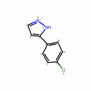 Clc1ccc(C2=CC=[N+]N2)cc1